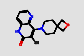 N#Cc1c(N2CCC3(CC2)COC3)c2ncccc2[nH]c1=O